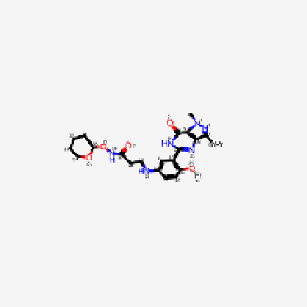 CCCc1nn(C)c2c(=O)[nH]c(-c3cc(NCCC(=O)NOC4CCCCO4)ccc3OCC)nc12